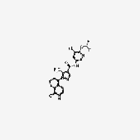 O=C(Nc1cnc(OC(F)F)c(Cl)c1)c1cnn(-c2cccc3c(=O)[nH]ccc23)c1C(F)(F)F